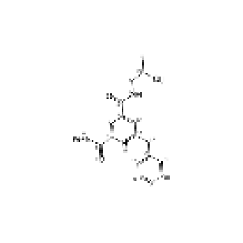 CNC(=O)c1cc(C(=O)NCC(C)O)cc(Cc2ccccc2)n1